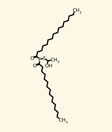 CCCCCCCCCCCCCCCC(=O)P(SC(C)O)C(=O)CCCCCCCCCCCCCCC